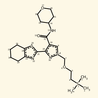 CS(C)(C)CCOCn1cc(C(=O)NC2CCOCC2)c(-c2nc3c(s2)CCCC3)n1